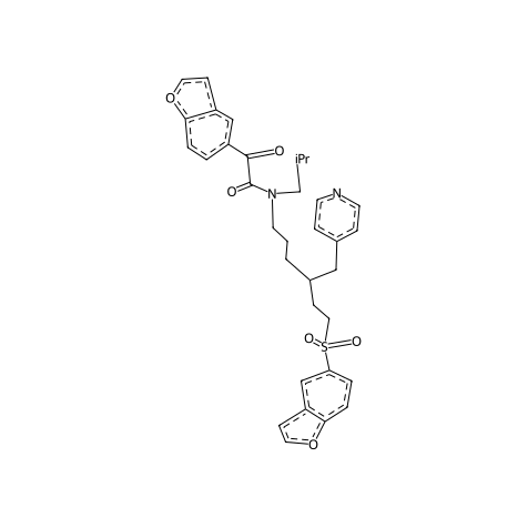 CC(C)CN(CCCC(CCS(=O)(=O)c1ccc2occc2c1)Cc1ccncc1)C(=O)C(=O)c1ccc2occc2c1